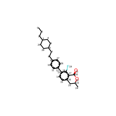 CCCC1CCC(CCc2ccc(-c3ccc4c(c3F)C(=O)OC(C)C4)cc2)CC1